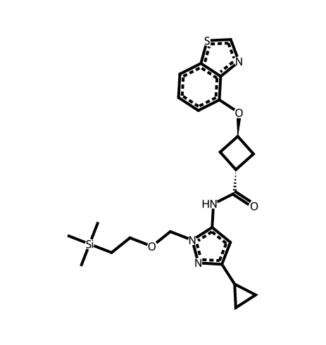 C[Si](C)(C)CCOCn1nc(C2CC2)cc1NC(=O)[C@H]1C[C@H](Oc2cccc3scnc23)C1